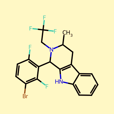 CC1Cc2c([nH]c3ccccc23)C(c2c(F)ccc(Br)c2F)N1CC(F)(F)F